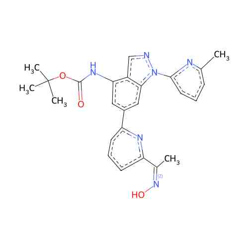 C/C(=N/O)c1cccc(-c2cc(NC(=O)OC(C)(C)C)c3cnn(-c4cccc(C)n4)c3c2)n1